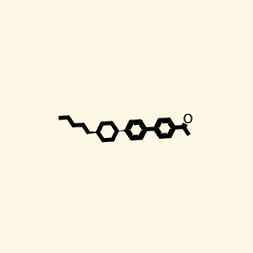 CCCCC[C@H]1CC[C@H](c2ccc(-c3ccc(C(C)=O)cc3)cc2)CC1